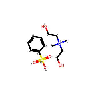 C[N+](C)(CCO)CCO.O=S(=O)([O-])c1ccccc1